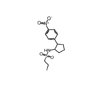 CCCS(=O)(=O)NC1CCCC1c1ccc([N+](=O)[O-])cc1